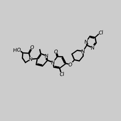 Cc1nc(-n2cc(Cl)c(OC3CCN(c4ncc(Cl)cn4)CC3)cc2=O)ccc1N1CCC(O)C1=O